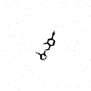 N#Cc1ccc(COc2nscc2Br)c(F)c1